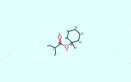 CC(C)C(=O)OC1(C)CCCCC1